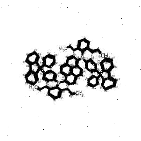 CCCc1cccc(CCC)c1N(c1ccc(C2(c3ccccc3)c3ccccc3-c3ccccc32)cc1)c1ccc2ccc3c(N(c4ccc(C5(c6ccccc6)c6ccccc6-c6ccccc65)cc4)c4c(CCC)cccc4CCC)ccc4ccc1c2c43